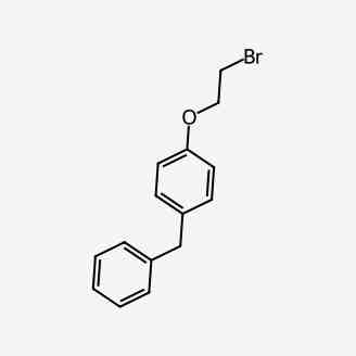 BrCCOc1ccc(Cc2ccccc2)cc1